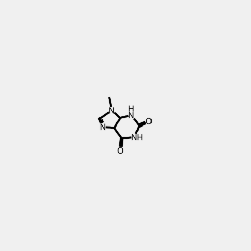 CN1C=NC2C(=O)NC(=O)NC21